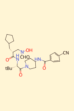 CC(C)(C)[C@H](NC(=O)[C@H](CC1CCCC1)CN(O)C=O)C(=O)N1CCC(NC(=O)c2ccc(C#N)cc2)CC1